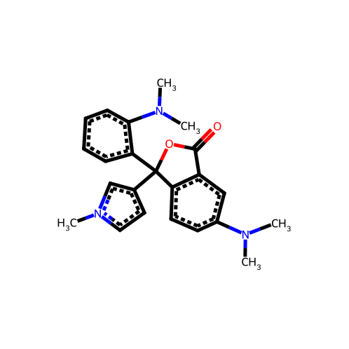 CN(C)c1ccc2c(c1)C(=O)OC2(c1ccn(C)c1)c1ccccc1N(C)C